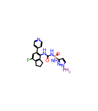 N=S(=O)(NC(=O)Nc1c(-c2ccncc2)cc(F)c2c1CCC2)c1ccn(P)n1